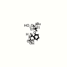 CCC(CC)(COc1cccc2c1C(N)=NS(=O)(=O)N2)N(C(=O)O)C(C)(C)C